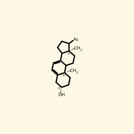 CC(=O)C1CCC2C3=CC=C4C[C@@H](O)CC[C@]4(C)C3CC[C@]12C